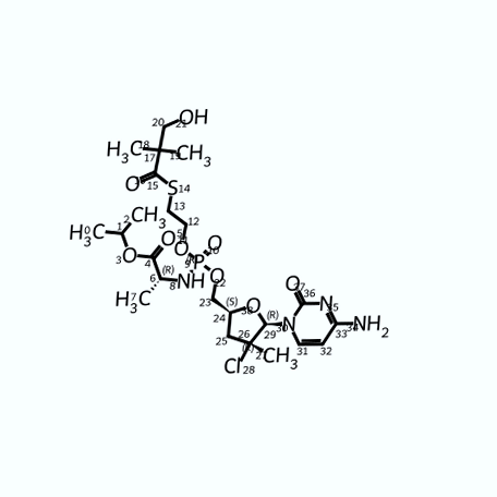 CC(C)OC(=O)[C@@H](C)N[P@](=O)(OCCSC(=O)C(C)(C)CO)OC[C@@H]1C[C@@](C)(Cl)[C@H](n2ccc(N)nc2=O)O1